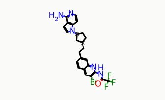 Nc1nccc2c1ccn2[C@H]1CC[C@@H](CCc2ccc3cc(Br)c(NC(=O)C(F)(F)F)nc3c2)C1